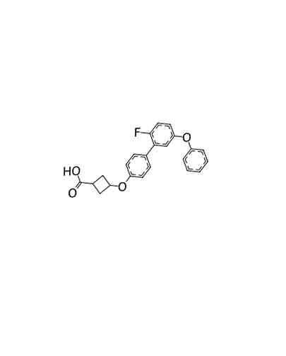 O=C(O)C1CC(Oc2ccc(-c3cc(Oc4ccccc4)ccc3F)cc2)C1